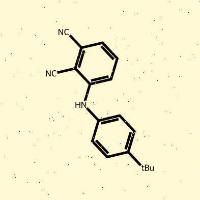 CC(C)(C)c1ccc(Nc2cccc(C#N)c2C#N)cc1